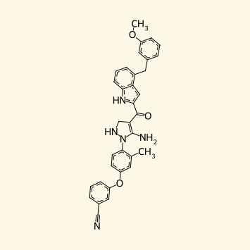 COc1cccc(Cc2cccc3[nH]c(C(=O)C4=C(N)N(c5ccc(Oc6cccc(C#N)c6)cc5C)NC4)cc23)c1